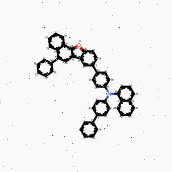 c1ccc(-c2ccc(N(c3ccc(-c4ccc5oc6c7ccccc7c(-c7ccccc7)cc6c5c4)cc3)c3cccc4ccccc34)cc2)cc1